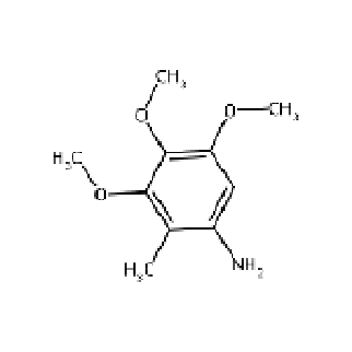 COc1cc(N)c(C)c(OC)c1OC